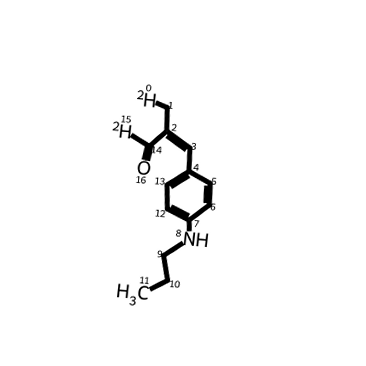 [2H]C/C(=C/c1ccc(NCCC)cc1)C([2H])=O